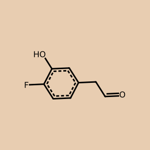 O=CCc1ccc(F)c(O)c1